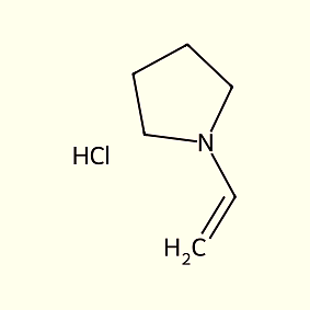 C=CN1CCCC1.Cl